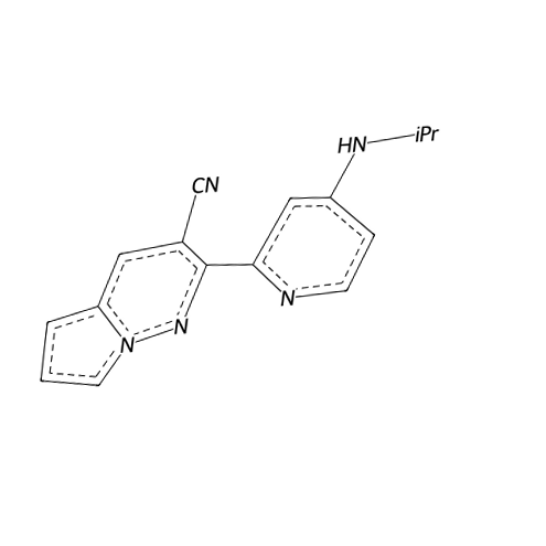 CC(C)Nc1ccnc(-c2nn3cccc3cc2C#N)c1